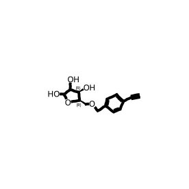 C#Cc1ccc(COC[C@H]2OC(O)C(O)[C@H]2O)cc1